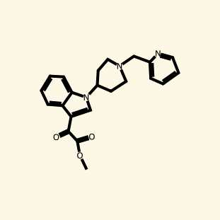 COC(=O)C(=O)c1cn(C2CCN(Cc3ccccn3)CC2)c2ccccc12